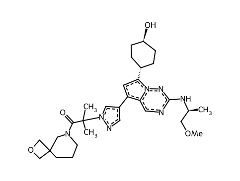 COC[C@H](C)Nc1ncc2c(-c3cnn(C(C)(C)C(=O)N4CCCC5(COC5)C4)c3)cc([C@H]3CC[C@H](O)CC3)n2n1